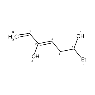 C=C/C(O)=C/CC(O)CC